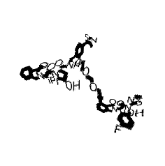 Cc1ncsc1-c1ccc(CNC(=O)[C@@H]2C[C@@H](O)CN2C(=O)C(C(C)C)N2Cc3ccccc3C2=O)c(OCCOCCOCC#Cc2cccc3c2C(=O)N([C@@H](C(=O)Nc2nccs2)c2cc(F)ccc2O)C3)c1